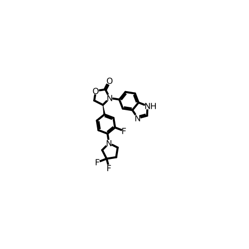 O=C1OC[C@H](c2ccc(N3CCC(F)(F)C3)c(F)c2)N1c1ccc2[nH]cnc2c1